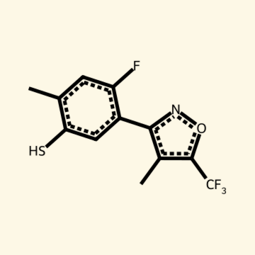 Cc1cc(F)c(-c2noc(C(F)(F)F)c2C)cc1S